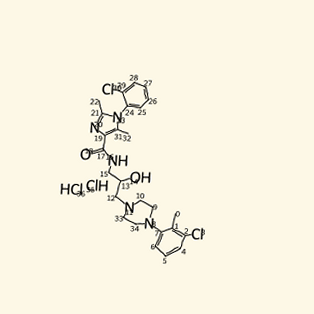 Cc1c(Cl)cccc1N1CCN(CC(O)CNC(=O)c2nc(C)n(-c3ccccc3Cl)c2C)CC1.Cl.Cl